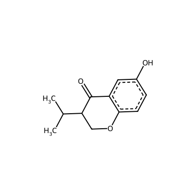 CC(C)C1COc2ccc(O)cc2C1=O